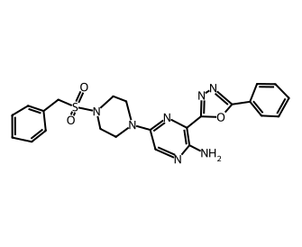 Nc1ncc(N2CCN(S(=O)(=O)Cc3ccccc3)CC2)nc1-c1nnc(-c2ccccc2)o1